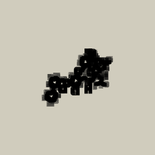 CC(C)C[C@H](NCc1cc(Cl)c(OCc2cccc(-c3ccccc3)c2Cl)cc1OCc1ccc2nonc2c1)C(=O)N[C@H](CC(C)C)C(=O)O